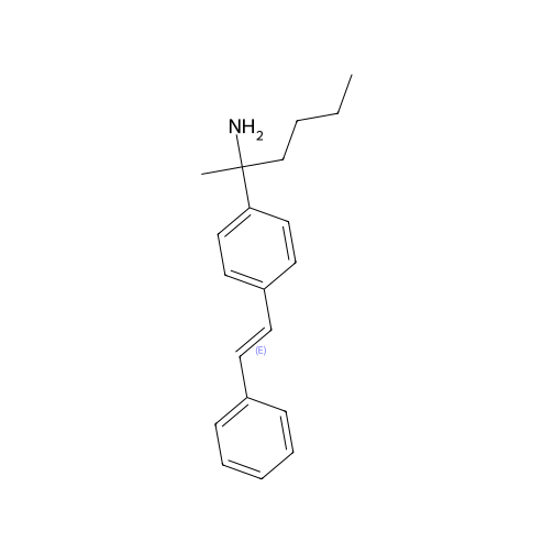 CCCCC(C)(N)c1ccc(/C=C/c2ccccc2)cc1